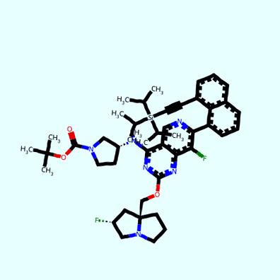 CC(C)[Si](C#Cc1cccc2cccc(-c3ncc4c(N(C)[C@@H]5CCN(C(=O)OC(C)(C)C)C5)nc(OC[C@@]56CCCN5C[C@H](F)C6)nc4c3F)c12)(C(C)C)C(C)C